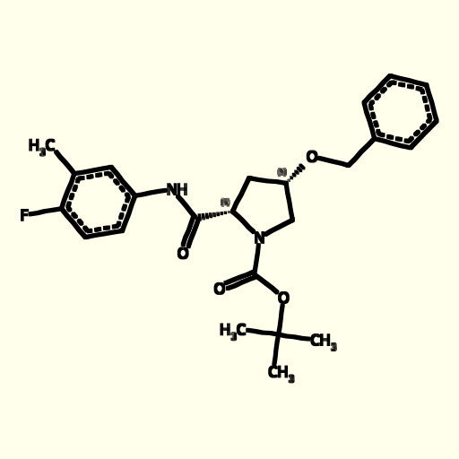 Cc1cc(NC(=O)[C@@H]2C[C@H](OCc3ccccc3)CN2C(=O)OC(C)(C)C)ccc1F